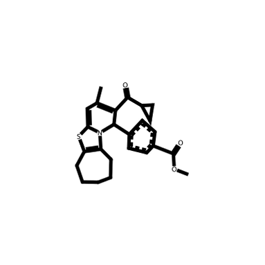 COC(=O)c1ccc(C2C(C(=O)C3CC3)=C(C)C=C3SC4=C(CCCCC4)N32)cc1